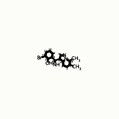 Cc1ccc2c(C(=N)c3cccc(Br)c3O)cnn2c1C